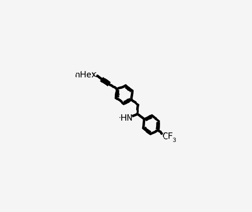 CCCCCCC#Cc1ccc(CC([NH])c2ccc(C(F)(F)F)cc2)cc1